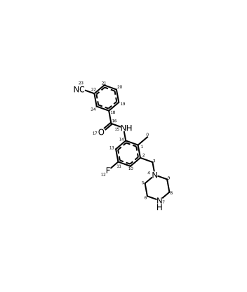 Cc1c(CN2CCNCC2)cc(F)cc1NC(=O)c1cccc(C#N)c1